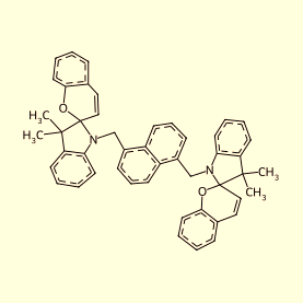 CC1(C)c2ccccc2N(Cc2cccc3c(CN4c5ccccc5C(C)(C)C45C=Cc4ccccc4O5)cccc23)C12C=Cc1ccccc1O2